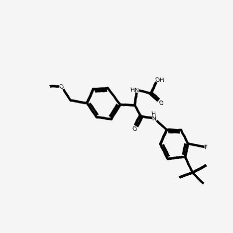 COCc1ccc(C(NC(=O)O)C(=O)Nc2ccc(C(C)(C)C)c(F)c2)cc1